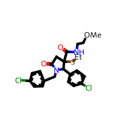 CCSC1(C(=O)NCCOC)CC(=O)N(Cc2ccc(Cl)cc2)C1c1ccc(Cl)cc1